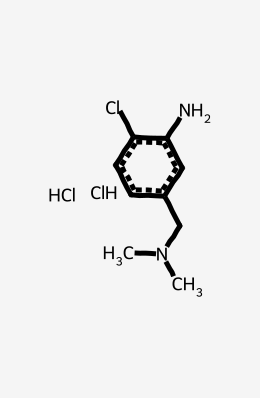 CN(C)Cc1ccc(Cl)c(N)c1.Cl.Cl